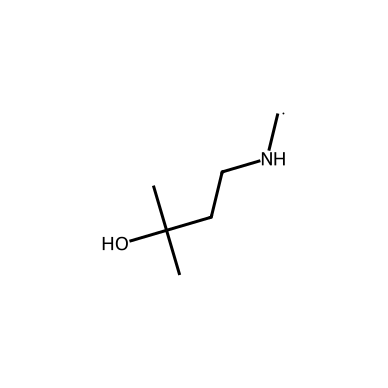 [CH2]NCCC(C)(C)O